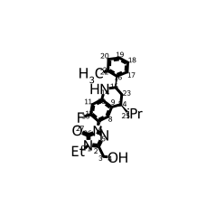 CCn1c(CO)nn(-c2cc3c(cc2F)N[C@@H](c2ccccc2C)C[C@H]3C(C)C)c1=O